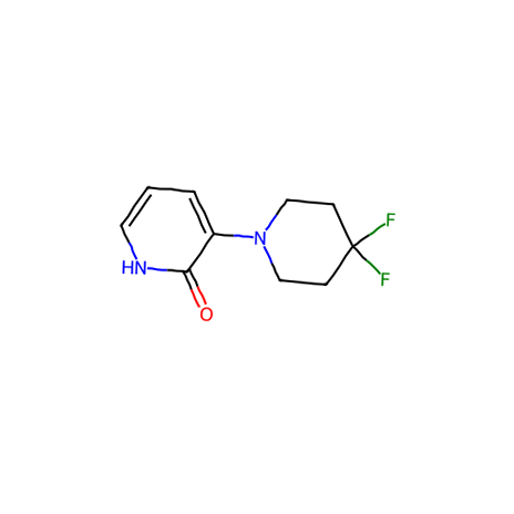 O=c1[nH]cccc1N1CCC(F)(F)CC1